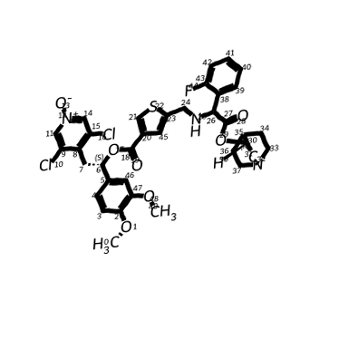 COc1ccc([C@H](Cc2c(Cl)c[n+]([O-])cc2Cl)OC(=O)c2csc(CNC(C(=O)O[C@H]3CN4CCC3CC4)c3ccccc3F)c2)cc1OC